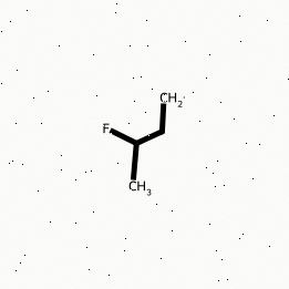 [CH2]CC(C)F